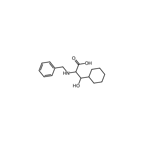 O=C(O)C(NCc1ccccc1)C(O)C1CCCCC1